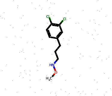 CONCCCc1ccc(Cl)c(Cl)c1